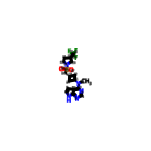 CN(c1ncnc2[nH]ccc12)[C@H]1C[C@@H](CS(=O)(=O)N2CCC(C(F)(F)F)C2)C1